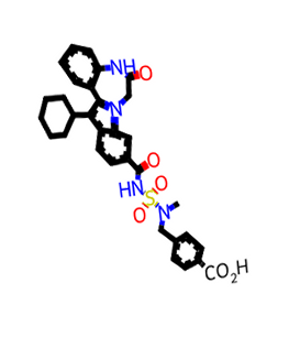 CN(Cc1ccc(C(=O)O)cc1)S(=O)(=O)NC(=O)c1ccc2c(C3CCCCC3)c3n(c2c1)CC(=O)Nc1ccccc1-3